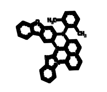 Cc1cccc(C)c1B1c2cc3oc4ccccc4c3cc2-n2c3c1ccc1cccc(c13)n1c3ccccc3nc21